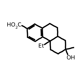 CCC12CCC(C)(O)CC1CCc1cc(C(=O)O)ccc12